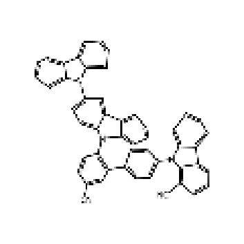 N#Cc1ccc(-n2c3ccccc3c3cc(-n4c5ccccc5c5ccccc54)ccc32)c(-c2ccc(-n3c4ccccc4c4cccc(C#N)c43)cc2)c1